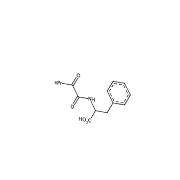 CCCC(=O)C(=O)NC(Cc1ccccc1)C(=O)O